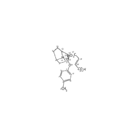 Cc1ccc(OC2CC3CCC(C2)N3C)cc1.O=C(O)/C=C/C(=O)O